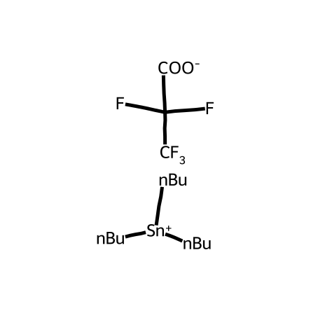 CCC[CH2][Sn+]([CH2]CCC)[CH2]CCC.O=C([O-])C(F)(F)C(F)(F)F